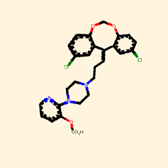 O=C(O)Oc1cccnc1N1CCN(CCC=C2c3cc(Cl)ccc3OCOc3ccc(Cl)cc32)CC1